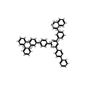 c1ccc(-c2ccc(-c3cc(-c4cccc(-c5cncc6ccccc56)c4)nc(-c4ccc(-c5ccc6c7ccccc7c7ccccc7c6c5)cc4)n3)cc2)cc1